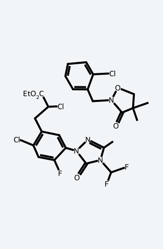 CC1(C)CON(Cc2ccccc2Cl)C1=O.CCOC(=O)C(Cl)Cc1cc(-n2nc(C)n(C(F)F)c2=O)c(F)cc1Cl